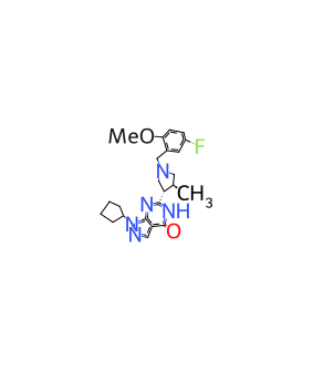 COc1ccc(F)cc1CN1C[C@@H](C)[C@H](c2nc3c(cnn3C3CCCC3)c(=O)[nH]2)C1